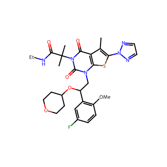 CCNC(=O)C(C)(C)n1c(=O)c2c(C)c(-n3nccn3)sc2n(CC(OC2CCOCC2)c2cc(F)ccc2OC)c1=O